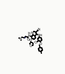 Cc1ccc(COc2ccc(Nc3c(C#N)cnc4c(NC(=O)/C=C/CN(C)C)c(OC5CCOC5)ccc34)cc2Cl)cc1